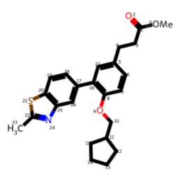 COC(=O)CCc1ccc(OCC2CCCC2)c(-c2ccc3sc(C)nc3c2)c1